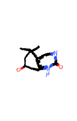 CC1(C)CC(=O)Cc2[nH]c(=O)ncc21